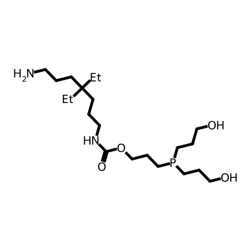 CCC(CC)(CCCN)CCCNC(=O)OCCCP(CCCO)CCCO